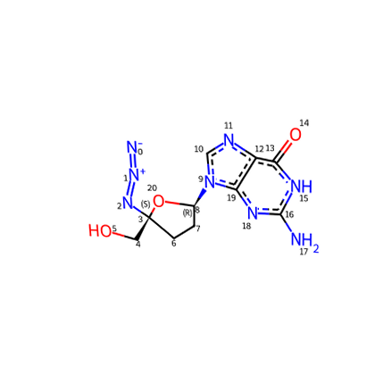 [N-]=[N+]=N[C@@]1(CO)CC[C@H](n2cnc3c(=O)[nH]c(N)nc32)O1